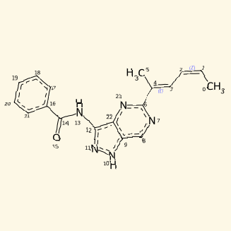 C/C=C\C=C(/C)c1ncc2[nH]nc(NC(=O)c3ccccc3)c2n1